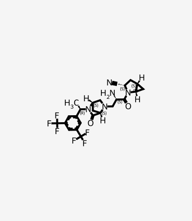 C[C@H](c1cc(C(F)(F)F)cc(C(F)(F)F)c1)N1C(=O)[C@@H]2C[C@H]1CN2C[C@H](N)C(=O)N1[C@H](C#N)C[C@@H]2C[C@@H]21